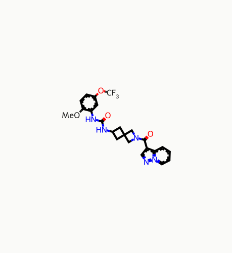 COc1ccc(OC(F)(F)F)cc1NC(=O)NC1CC2(C1)CN(C(=O)c1cnn3ccccc13)C2